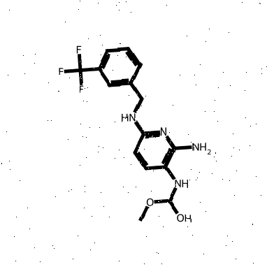 COC(O)Nc1ccc(NCc2cccc(C(F)(F)F)c2)nc1N